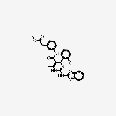 COC(=O)Cc1cccc(NC(=O)C2=C(C)NC(Nc3nc4ccccc4o3)=NC2c2ccccc2Cl)c1